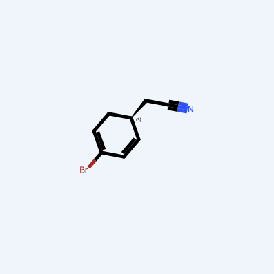 N#CC[C@H]1C=CC(Br)=CC1